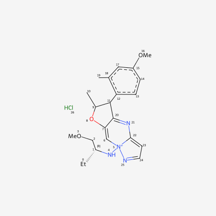 CC[C@H](COC)N[N+]12C=C3OC(C)C(c4ccc(OC)cc4C)C3=NC1=CC=N2.Cl